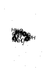 Nc1nccc(C(=O)N[C@@H]2CNCC2NC(=O)c2ccc(C(=O)c3cc(Cl)ccc3O)cc2)n1